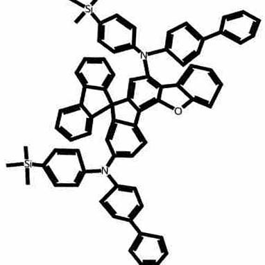 C[Si](C)(C)c1ccc(N(c2ccc(-c3ccccc3)cc2)c2ccc3c(c2)C2(c4ccccc4-c4ccccc42)c2cc(N(c4ccc(-c5ccccc5)cc4)c4ccc([Si](C)(C)C)cc4)c4c(oc5ccccc54)c2-3)cc1